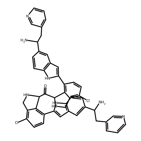 NC(Cc1cccnc1)c1ccc2[nH]c(-c3ccc(Cl)c4c3C(C(=O)C3NCc5c(Cl)ccc(-c6cc7cc(C(N)Cc8cccnc8)ccc7[nH]6)c53)NC4)cc2c1